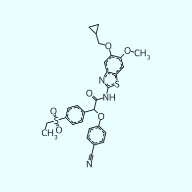 CCS(=O)(=O)c1ccc(C(Oc2ccc(C#N)cc2)C(=O)Nc2nc3cc(OCC4CC4)c(OC)cc3s2)cc1